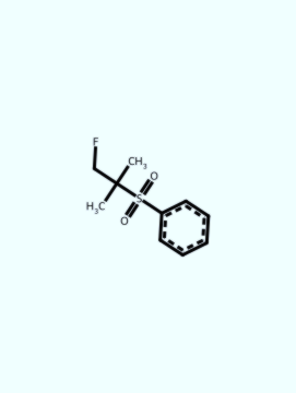 CC(C)(CF)S(=O)(=O)c1ccccc1